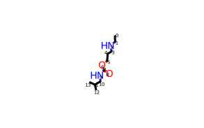 CCNCCCOC(=O)NCC(C)C